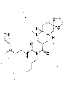 CCCCN(C(=O)NCCN(C)CCO)C(=O)[C@@H]1C[C@@H]2CC3(CC[C@H]2N(C)C1)OCCO3